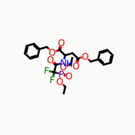 CCOP(=O)(OCC)C(F)(F)C(=O)NC(CC(=O)OCc1ccccc1)C(=O)OCc1ccccc1